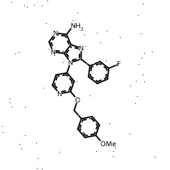 COc1ccc(COc2cc(-n3c(-c4cccc(F)c4)nc4c(N)ncnc43)ccn2)cc1